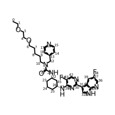 CCOCCOCCCCCN(Cc1ccncc1)C(=O)N[C@H]1CCC[C@@H](Nc2nc(-c3c[nH]c4ncc(F)cc34)ncc2F)C1